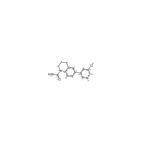 NC(=O)N1CCCc2cc(-c3cncc(Cl)c3)cnc21